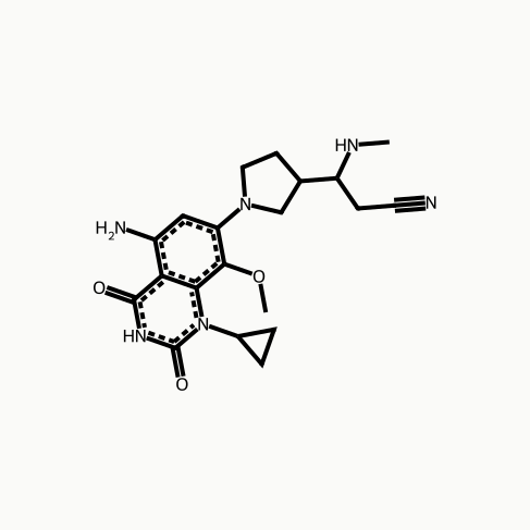 CNC(CC#N)C1CCN(c2cc(N)c3c(=O)[nH]c(=O)n(C4CC4)c3c2OC)C1